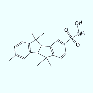 Cc1ccc2c(c1)C1C(c3cc(S(=O)(=O)NO)ccc3C1(C)C)C2(C)C